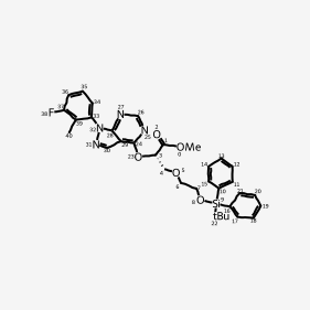 COC(=O)[C@H](COCCO[Si](c1ccccc1)(c1ccccc1)C(C)(C)C)Oc1ncnc2c1cnn2-c1cccc(F)c1C